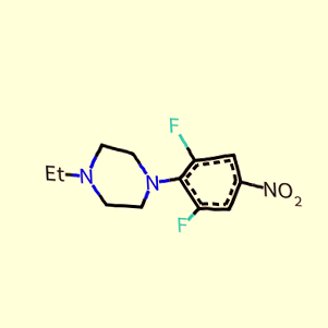 CCN1CCN(c2c(F)cc([N+](=O)[O-])cc2F)CC1